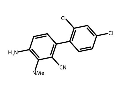 CNc1c(N)ccc(-c2ccc(Cl)cc2Cl)c1C#N